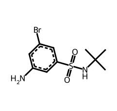 CC(C)(C)NS(=O)(=O)c1cc(N)cc(Br)c1